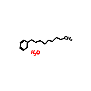 CCCCCCCCCc1ccccc1.O